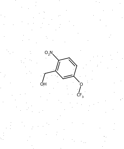 O=[N+]([O-])c1ccc(OC(F)(F)F)cc1[CH]O